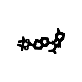 Cc1ccc2nc(C(C)C)n(-c3ccc4cc(B5OC(C)(C)C(C)(C)O5)ccc4c3)c2c1